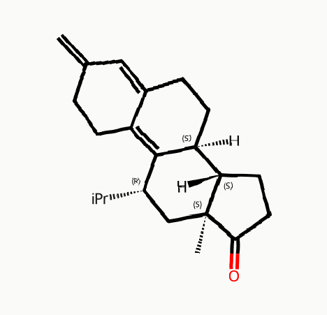 C=C1C=C2CC[C@@H]3C(=C2CC1)[C@@H](C(C)C)C[C@]1(C)C(=O)CC[C@@H]31